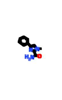 Cn1cc(-c2ccccc2)nc1C(N)=O